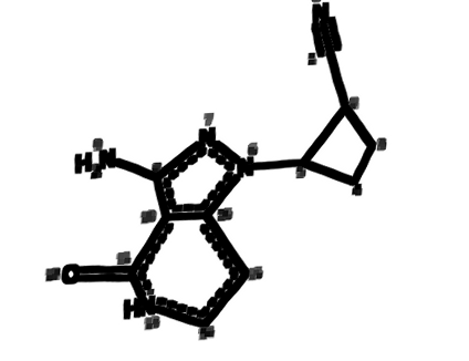 N#CC1CCC1n1nc(N)c2c(=O)[nH]ccc21